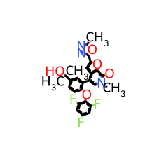 Cc1nnc(-c2cc3c(-c4cc(C(C)(C)O)ccc4Oc4c(F)cc(F)cc4F)cn(C)c(=O)c3o2)o1